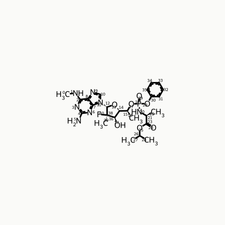 CNc1nc(N)nc2c1ncn2[C@@H]1O[C@H]([C@H](C)O[P@@](=O)(N[C@@H](C)C(=O)OC(C)C)Oc2ccccc2)[C@@H](O)[C@@]1(C)F